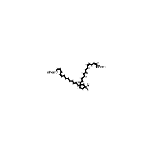 CCCCC/C=C\C/C=C\CCCCCCCCC1(CCCCCCCC/C=C\C/C=C\CCCCC)CCC(N(C)C)C1